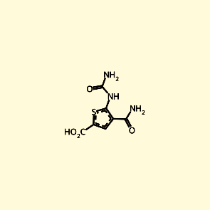 NC(=O)Nc1sc(C(=O)O)cc1C(N)=O